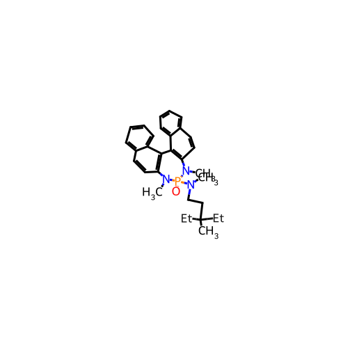 CCC(C)(CC)CCN(C)P1(=O)N(C)c2ccc3ccccc3c2-c2c(ccc3ccccc23)N1C